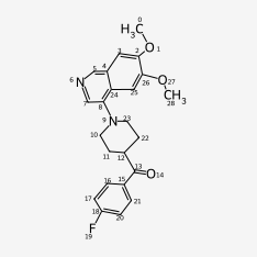 COc1cc2cncc(N3CCC(C(=O)c4ccc(F)cc4)CC3)c2cc1OC